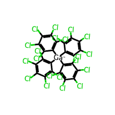 Clc1c(Cl)c(Cl)[c]([Ga-]([c]2c(Cl)c(Cl)c(Cl)c(Cl)c2Cl)([c]2c(Cl)c(Cl)c(Cl)c(Cl)c2Cl)[c]2c(Cl)c(Cl)c(Cl)c(Cl)c2Cl)c(Cl)c1Cl